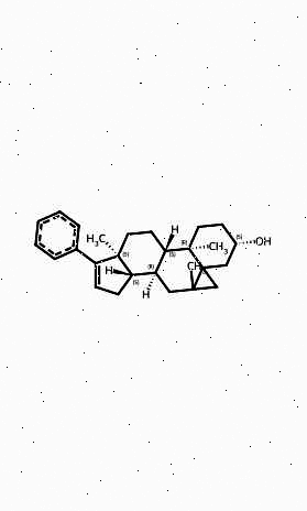 CC12C[C@H]3[C@@H]4CC=C(c5ccccc5)[C@@]4(C)CC[C@@H]3[C@@]3(C)CC[C@H](O)CC13C2